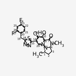 C[C@@H]1CCC2N(C)C(=O)c3c(O)c(=O)c(-c4nnc(Cc5ccc(F)cc5F)s4)cn3N21